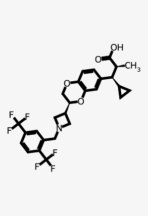 C[C@H](C(=O)O)[C@H](c1ccc2c(c1)O[C@@H](C1CN(Cc3cc(C(F)(F)F)ccc3C(F)(F)F)C1)CO2)C1CC1